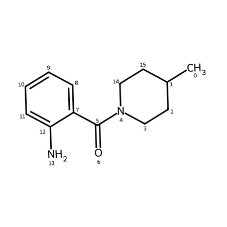 CC1CCN(C(=O)c2ccccc2N)CC1